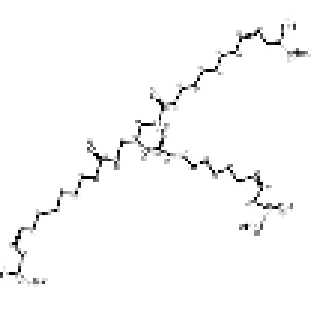 CCCCCC[C@H](O)C/C=C\CCCCCCCC(=O)OCC(COC(=O)CCCCCCC/C=C\C[C@H](O)CCCCCC)OC(=O)CCCCCCC/C=C\C[C@H](O)CCCCCC